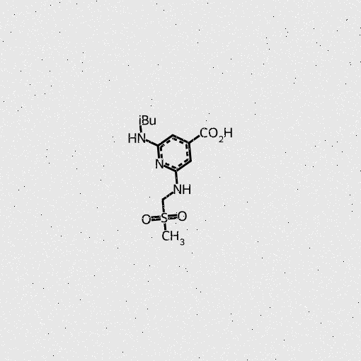 CCC(C)Nc1cc(C(=O)O)cc(NCS(C)(=O)=O)n1